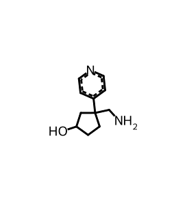 NCC1(c2ccncc2)CCC(O)C1